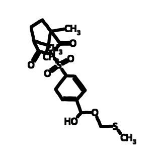 CSCOC(O)C1=CCC(S(=O)(=O)N2C(=O)C3CCC(C)(C2=O)C3(C)C)C=C1